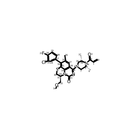 C=CC(=O)N1[C@H](C)CN(c2nc(=O)n3c4c(c(-c5ccc(F)c(Cl)c5)c(C)cc24)SC[C@@H]3COC)C[C@@H]1C